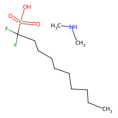 CCCCCCCCCC(F)(F)S(=O)(=O)O.CNC